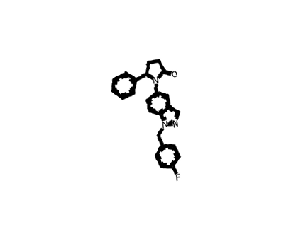 O=C1CCC(c2ccccc2)N1c1ccc2c(cnn2Cc2ccc(F)cc2)c1